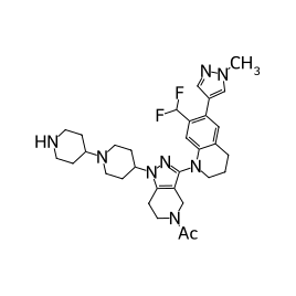 CC(=O)N1CCc2c(c(N3CCCc4cc(-c5cnn(C)c5)c(C(F)F)cc43)nn2C2CCN(C3CCNCC3)CC2)C1